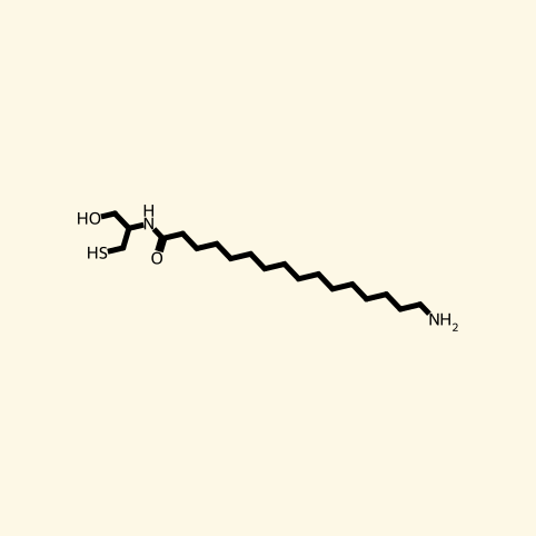 NCCCCCCCCCCCCCCCC(=O)NC(CO)CS